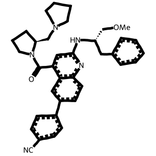 COC[C@H](Cc1ccccc1)Nc1cc(C(=O)N2CCC[C@H]2CN2CCCC2)c2cc(-c3ccc(C#N)cc3)ccc2n1